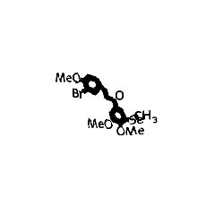 COc1ccc(/C=C/C(=O)c2cc(OC)c(OC)c([Se]C)c2)cc1Br